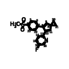 CS(=O)(=O)c1ccc(C2=CC3(C=C2c2ccc(F)cn2)CC3)cc1